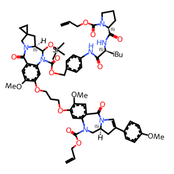 C=CCOC(=O)N1C[C@@H]2CC(c3ccc(OC)cc3)=CN2C(=O)c2cc(OC)c(OCCCOc3cc4c(cc3OC)C(=O)N3CC5(CC5)C[C@H]3C(O[Si](C)(C)C)N4C(=O)OCc3ccc(NC(=O)[C@@H](NC(=O)[C@@H]4CCCN4C(=O)OCC=C)C(C)CC)cc3)cc21